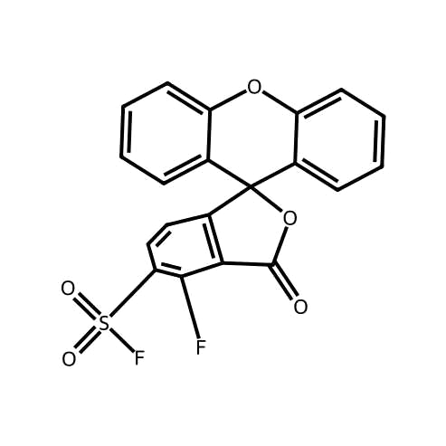 O=C1OC2(c3ccccc3Oc3ccccc32)c2ccc(S(=O)(=O)F)c(F)c21